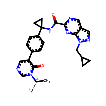 C[C@@H](n1cncc(-c2ccc(C3(NC(=O)c4ncc5cnn(CC6CC6)c5n4)CC3)cc2)c1=O)C(F)(F)F